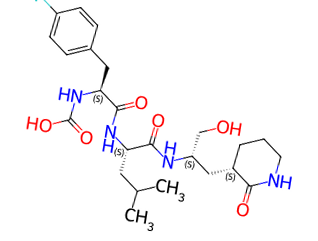 CC(C)C[C@H](NC(=O)[C@H](Cc1ccc(F)cc1)NC(=O)O)C(=O)N[C@H](CO)C[C@@H]1CCCNC1=O